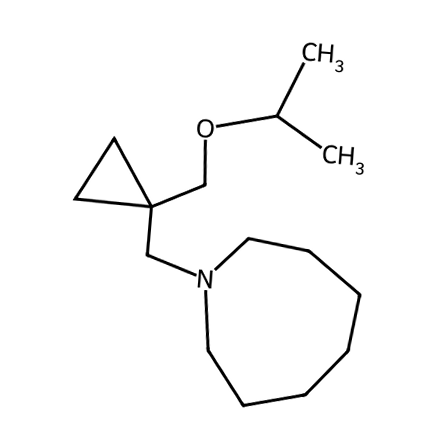 CC(C)OCC1(CN2CCCCCCC2)CC1